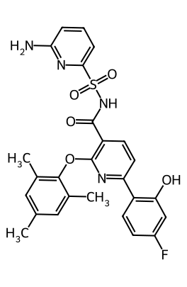 Cc1cc(C)c(Oc2nc(-c3ccc(F)cc3O)ccc2C(=O)NS(=O)(=O)c2cccc(N)n2)c(C)c1